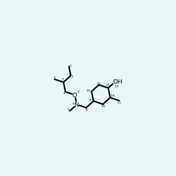 CCC(C)CON(C)CC1CCC(O)C(C)C1